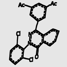 CC(=O)c1cc(C(C)=O)cc(-c2nn(-c3c(Cl)cccc3Cl)c(=O)c3ccccc23)c1